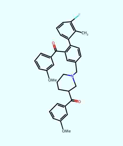 COc1cccc(C(=O)c2cc(CN3CCCC(C(=O)c4cccc(OC)c4)C3)ccc2-c2cccc(F)c2C)c1